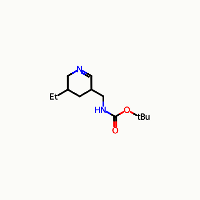 CCC1CN=CC(CNC(=O)OC(C)(C)C)C1